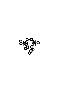 c1ccc(-c2nc(-c3cccc(-c4cccc(-c5nc(-c6cccc7ccccc67)nc(-c6cccc7ccccc67)n5)c4)c3)cc(-c3ccc4c(c3)oc3cc5ccccc5cc34)n2)cc1